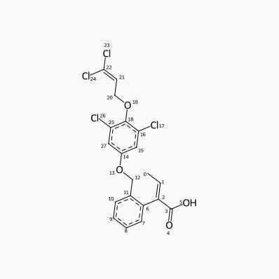 C/C=C(/C(=O)O)c1ccccc1COc1cc(Cl)c(OCC=C(Cl)Cl)c(Cl)c1